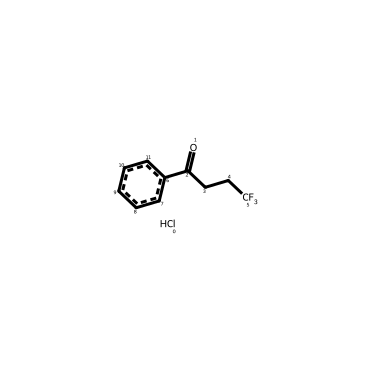 Cl.O=C(CCC(F)(F)F)c1ccccc1